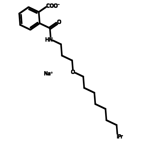 CC(C)CCCCCCCOCCCNC(=O)c1ccccc1C(=O)[O-].[Na+]